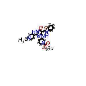 CN1CCC(c2nc(N[C@@H]3CCCN(C(=O)OC(C)(C)C)C3)c(-c3nc4ccccc4s3)c(=O)[nH]2)CC1